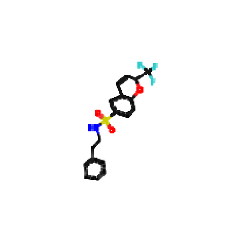 O=S(=O)(NCCc1ccccc1)c1ccc2c(c1)C=CC(C(F)(F)F)O2